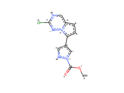 CC(C)(C)OC(=O)n1cc(-c2ccc3cnc(Cl)nn23)cn1